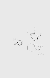 C[C@]1(c2cc(F)c(Cl)c(F)c2)C[C@@H](c2cc(=O)[nH]o2)CCN1C(=O)O